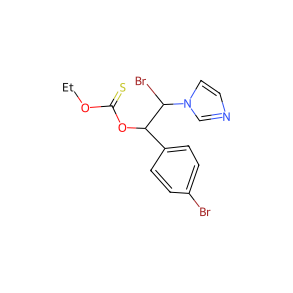 CCOC(=S)OC(c1ccc(Br)cc1)C(Br)n1ccnc1